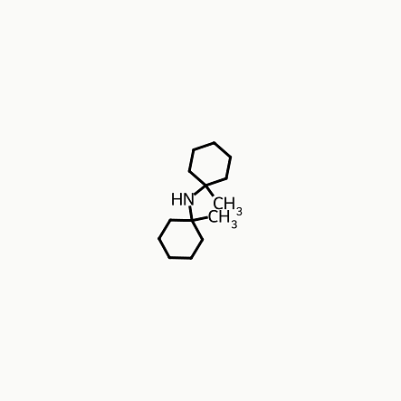 CC1(NC2(C)CCCCC2)CCCCC1